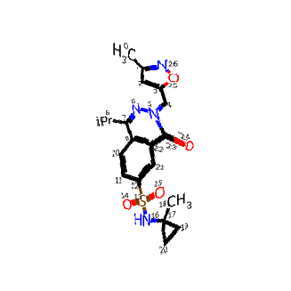 Cc1cc(Cn2nc(C(C)C)c3ccc(S(=O)(=O)NC4(C)CC4)cc3c2=O)on1